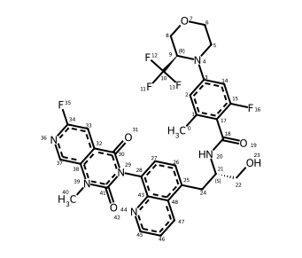 Cc1cc(N2CCOC[C@@H]2C(F)(F)F)cc(F)c1C(=O)N[C@H](CO)Cc1ccc(-n2c(=O)c3cc(F)ncc3n(C)c2=O)c2ncccc12